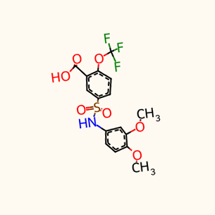 COc1ccc(NS(=O)(=O)c2ccc(OC(F)(F)F)c(C(=O)O)c2)cc1OC